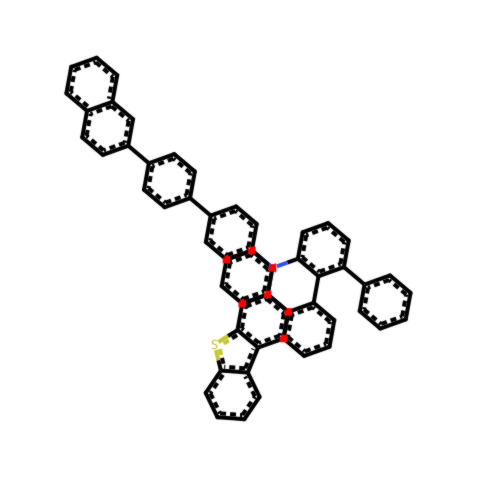 c1ccc(-c2ccccc2-c2c(-c3ccccc3)cccc2N(c2ccc(-c3ccc(-c4ccc5ccccc5c4)cc3)cc2)c2ccc3c(c2)sc2ccccc23)cc1